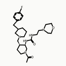 CC(=O)N1CC[C@@H](CN2CCCC(Cc3ccc(F)cc3)C2)[C@@H](NC(=O)NCCN2CCOCC2)C1